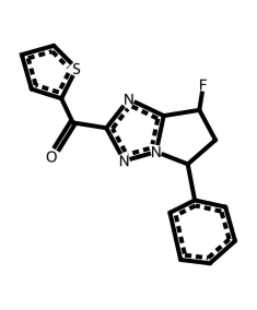 O=C(c1nc2n(n1)C(c1ccccc1)CC2F)c1cccs1